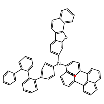 c1ccc(-c2ccccc2-c2ccccc2-c2ccc(N(c3ccc(-c4cccc5cccc(-c6ccccc6)c45)cc3)c3ccc4c(c3)sc3c5ccccc5ccc43)cc2)cc1